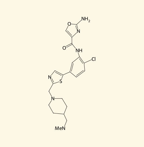 CNCC1CCN(Cc2ncc(-c3ccc(Cl)c(NC(=O)c4coc(N)n4)c3)s2)CC1